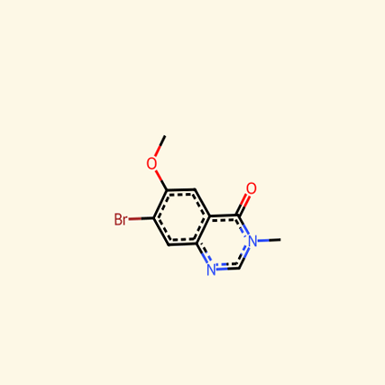 COc1cc2c(=O)n(C)cnc2cc1Br